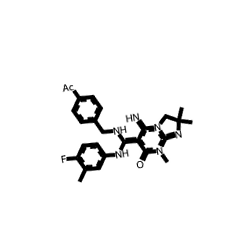 CC(=O)c1ccc(CN/C(Nc2ccc(F)c(C)c2)=c2/c(=O)n(C)c3n(c2=N)CC(C)(C)N=3)cc1